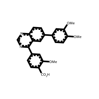 COc1ccc(-c2ccc3ncnc(-c4ccc(C(=O)O)c(OC)c4)c3c2)cc1OC